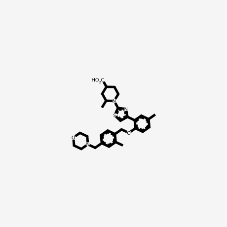 Cc1ccc(OCc2ccc(CN3CCOCC3)cc2C)c(-c2csc(N3CCC(C(=O)O)CC3C)n2)c1